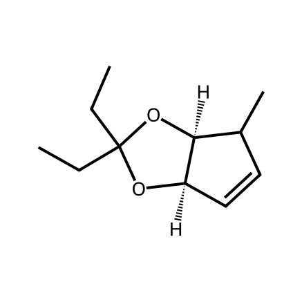 CCC1(CC)O[C@@H]2C=CC(C)[C@@H]2O1